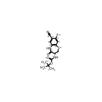 CC(C)(C)OC(=O)N[C@H]1CSc2cc(F)c(C#N)cc2NC1=O